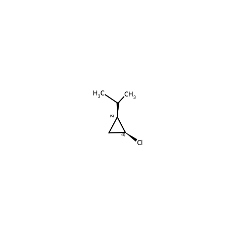 CC(C)[C@@H]1C[C@@H]1Cl